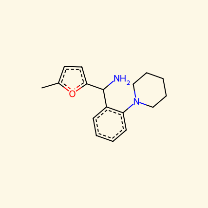 Cc1ccc(C(N)c2ccccc2N2CCCCC2)o1